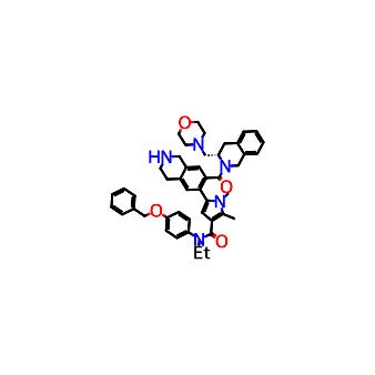 CCN(C(=O)c1cc(-c2cc3c(cc2C(=O)N2Cc4ccccc4C[C@H]2CN2CCOCC2)CNCC3)n(C)c1C)c1ccc(OCc2ccccc2)cc1